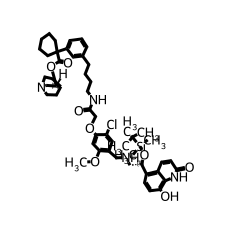 COc1cc(OCC(=O)NCCCCc2cccc(C3(C(=O)O[C@H]4CN5CCC4CC5)CCCCC3)c2)c(Cl)cc1CNC[C@H](O[Si](C)(C)C(C)(C)C)c1ccc(O)c2[nH]c(=O)ccc12